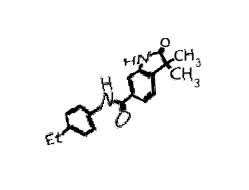 CCc1ccc(NC(=O)c2ccc3c(c2)NC(=O)C3(C)C)cc1